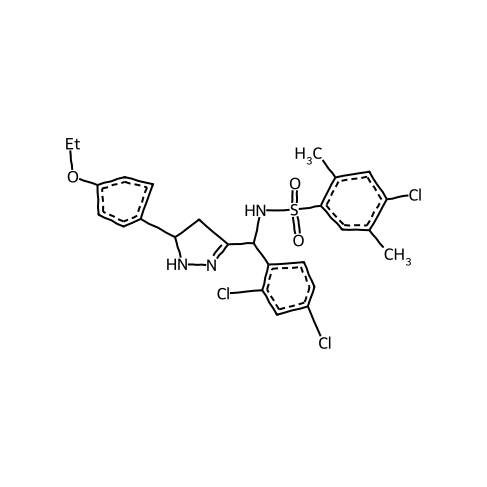 CCOc1ccc(C2CC(C(NS(=O)(=O)c3cc(C)c(Cl)cc3C)c3ccc(Cl)cc3Cl)=NN2)cc1